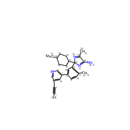 CCC#Cc1cncc(-c2ccc(C)c(C3(C4CCC(OC)CC4)N=C(C)C(N)=N3)c2)c1